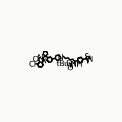 Cc1ncsc1-c1ccc(C(CCCCCN2CCC(c3ccc4c(c3)C3(CCCC3)c3nc(=O)c5c(Cl)cccc5n3-4)CC2)NC(=O)OC(C)(C)C)cc1